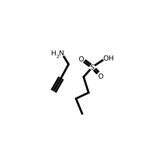 C#CCN.CCCCS(=O)(=O)O